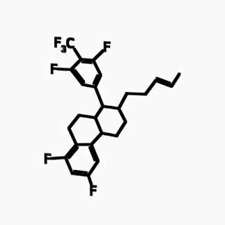 CC=CCCC1CCC2c3cc(F)cc(F)c3CCC2C1c1cc(F)c(C(F)(F)F)c(F)c1